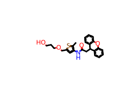 Cc1sc(COCCCO)cc1NC(=O)CC1c2ccccc2Oc2ccccc21